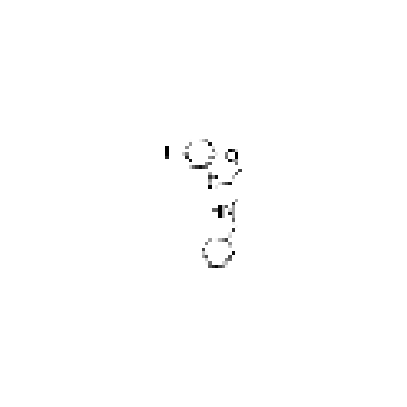 Ic1ccc2c(c1)O[C@@H](CNCc1ccccc1)CO2